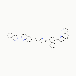 c1ccc2cc(-c3ccc4cc(-c5ccc6nc(-c7ccc(-c8ccc9ccc%10cccnc%10c9n8)c8ccccc78)ccc6c5)ccc4n3)ncc2c1